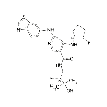 CC(O)([C@H](F)CNC(=O)c1cnc(Nc2ccc3ncsc3c2)cc1N[C@@H]1CCCC1F)C(F)(F)F